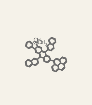 C[Si]1(C)c2ccccc2-c2cc3c(-c4ccc5ccccc5c4)c4ccc(C5=C6C=CC=C7C=CC8=CC=CC(=C5)C8C76)cc4c(-c4ccc5ccccc5c4)c3cc21